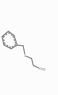 O=CCCSCc1ccccc1